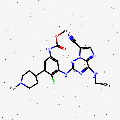 CCNc1nc(Nc2cc(NC(=O)OC)cc(C3CCN(C)CC3)c2Cl)nn2c(C#N)cnc12